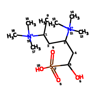 CC(CC(CC(O)S(=O)(=O)O)[N+](C)(C)C)[N+](C)(C)C